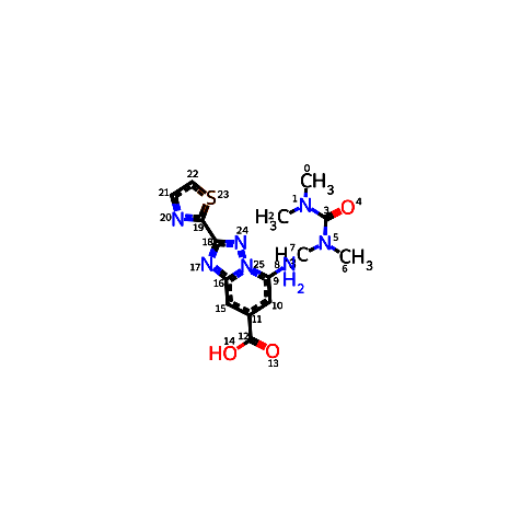 CN(C)C(=O)N(C)C.Nc1cc(C(=O)O)cc2nc(-c3nccs3)nn12